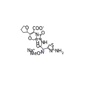 CO/N=C(\C(=O)N[C@@H]1C(=O)N2C(C(=O)[O-])=C(C3CCCO3)OC[C@H]12)c1csc(N)n1.[Na+]